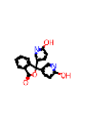 O=C1OC(c2ccc(O)nc2)(c2ccc(O)nc2)c2ccccc21